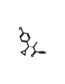 COC(=O)C(F)[C@@H](c1ccc(Cl)cc1)C1CC1